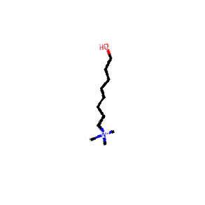 C[N+](C)(C)CCCCCCCCO